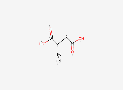 O=C(O)CCC(=O)O.[Pd].[Pd]